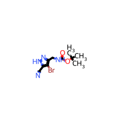 CC(C)(C)OC(=O)NCc1n[nH]c(C#N)c1Br